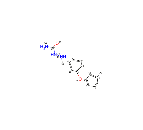 Cc1cccc(Oc2cccc(CNNC(N)=O)c2)c1